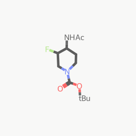 CC(=O)NC1CCN(C(=O)OC(C)(C)C)CC1F